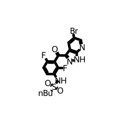 CCCCS(=O)(=O)Nc1ccc(F)c(C(=O)c2n[nH]c3ncc(Br)cc23)c1F